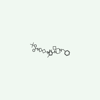 Cc1cc(N2CCN(Cc3ccccc3)CC23CCC3)nn1C1CC2(C1)CN(C(=O)OC(C)(C)C)C2